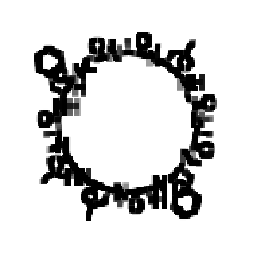 CC(C)C[C@@H]1NC(=O)[C@H](CC(C)C)N(C)C(=O)[C@H](C)NC(=O)[C@H](Cc2ccccc2)N(C)C(=O)[C@H](C)N(C)C(=O)CNC(=O)[C@H](CC(C)C)N(C)C(=O)[C@H](C)N(C)C(=O)CNC(=O)[C@H](Cc2ccccc2)NC(=O)[C@H](C)N(C)C1=O